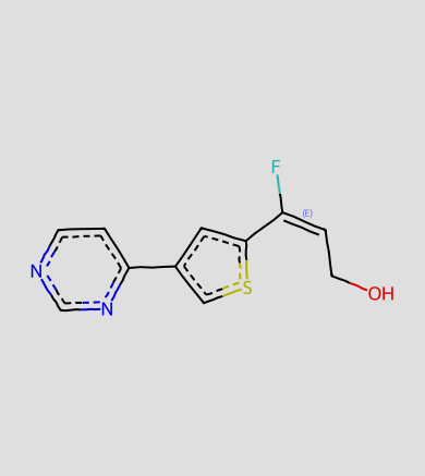 OC/C=C(/F)c1cc(-c2ccncn2)cs1